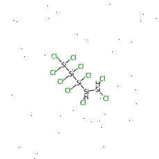 Cl[SiH](Cl)[SiH](Cl)[Si](Cl)(Cl)[Si](Cl)(Cl)[Si](Cl)(Cl)Cl